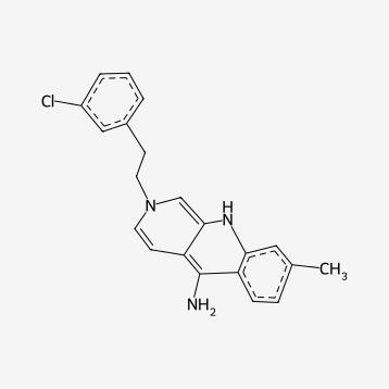 Cc1ccc2c(c1)NC1=CN(CCc3cccc(Cl)c3)C=CC1=C2N